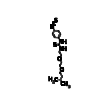 CC(C)CCOCCOCCNC(=S)Nc1ccc(N=C=S)cc1